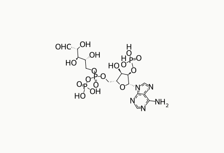 Nc1ncnc2c1ncn2[C@@H]1O[C@H](COP(=O)(OC[C@@H](O)[C@@H](O)[C@@H](O)C=O)OP(=O)(O)O)[C@@H](O)[C@H]1OP(=O)(O)O